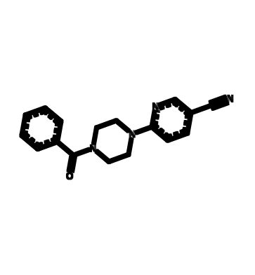 N#Cc1ccc(N2CCN(C(=O)c3ccccc3)CC2)nc1